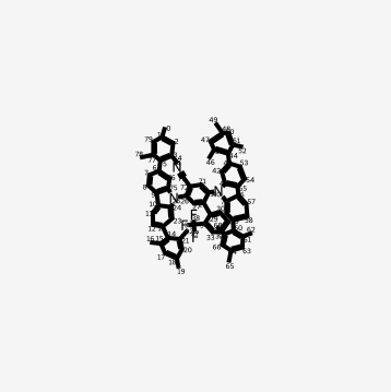 Cc1cc(C)c(-c2ccc3c4ccc(-c5c(C)cc(C)cc5C)cc4n(-c4cc(-c5ccccc5C(F)(F)F)c(-n5c6cc(-c7c(C)cc(C)cc7C)ccc6c6ccc(-c7c(C)cc(C)cc7C)cc65)cc4C#N)c3c2)c(C)c1